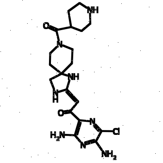 Nc1nc(N)c(C(=O)/C=C2\NCC3(CCN(C(=O)C4CCNCC4)CC3)N2)nc1Cl